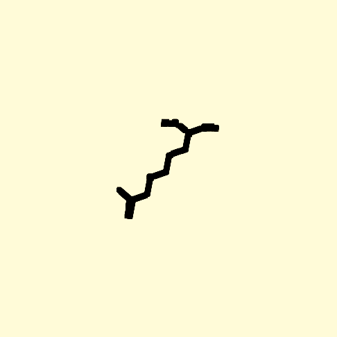 C=C(C)COCCC[Si](OC)OC